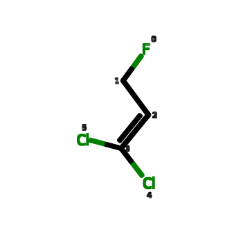 FCC=C(Cl)Cl